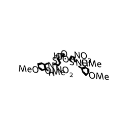 COc1ccc(CNc2sc(O[PH](=O)Oc3cc([N+](=O)[O-])c(NCc4ccc(OC)cc4OC)s3)cc2[N+](=O)[O-])c(OC)c1